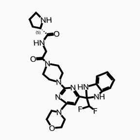 O=C(NCC(=O)N1CCN(c2nc(N3CCOCC3)cc(C3(C(F)F)Nc4ccccc4N3)n2)CC1)[C@@H]1CCCN1